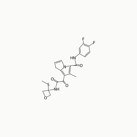 CSC1(NC(=O)C(=O)c2c(C)c(C(=O)Nc3ccc(F)c(F)c3)n3c2CC=C3)COC1